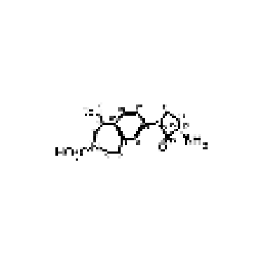 CC(C)(C)C1CN(C(=O)O)CCc2cc(N3CC[C@H](N)C3=O)ccc21